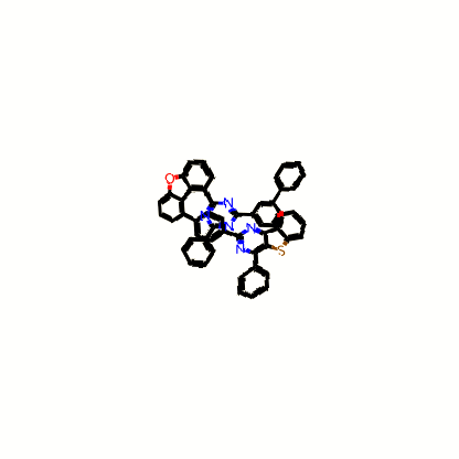 c1ccc(-c2cccc(-c3nc(-c4ccccc4)nc(-c4cccc5oc6cccc(-c7ccc(-c8nc(-c9ccccc9)c9sc%10ccccc%10c9n8)cc7)c6c45)n3)c2)cc1